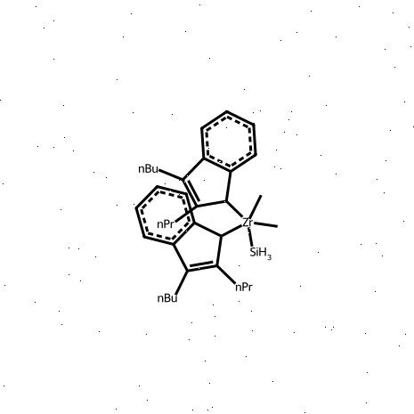 CCCCC1=C(CCC)[CH]([Zr]([CH3])([CH3])([SiH3])[CH]2C(CCC)=C(CCCC)c3ccccc32)c2ccccc21